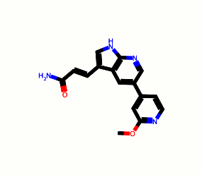 COc1cc(-c2cnc3[nH]cc(C=CC(N)=O)c3c2)ccn1